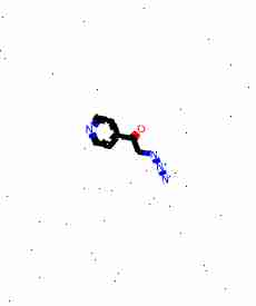 [N-]=[N+]=NCC(=O)c1ccncc1